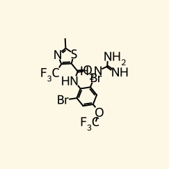 Cc1nc(C(F)(F)F)c(C(=O)Nc2c(Br)cc(OC(F)(F)F)cc2Br)s1.N=C(N)N